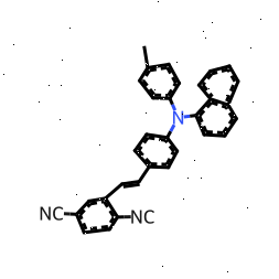 [C-]#[N+]c1ccc(C#N)cc1C=Cc1ccc(N(c2ccc(C)cc2)c2cccc3ccccc23)cc1